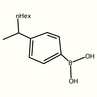 CCCCCCC(C)c1ccc(B(O)O)cc1